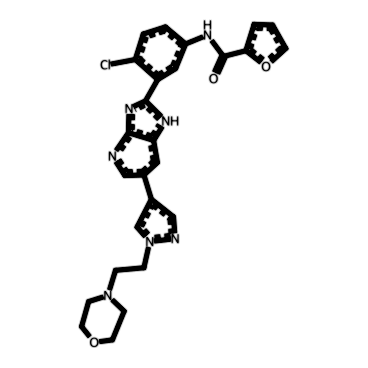 O=C(Nc1ccc(Cl)c(-c2nc3ncc(-c4cnn(CCN5CCOCC5)c4)cc3[nH]2)c1)c1ccco1